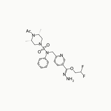 CC(=O)N1[C@H](C)CN(S(=O)(=O)N(Cc2ccc(C(=NN)OCC(F)F)cn2)c2ccccc2)C[C@@H]1C